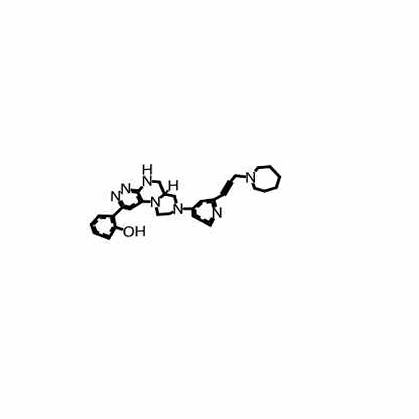 Oc1ccccc1-c1cc2c(nn1)NC[C@@H]1CN(c3ccnc(C#CCN4CCCCCC4)c3)CCN21